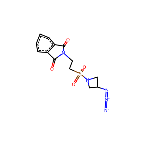 [N-]=[N+]=NC1CN(S(=O)(=O)CCN2C(=O)c3ccccc3C2=O)C1